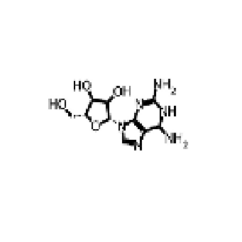 NC1=Nc2c(ncn2[C@@H]2O[C@H](CO)C(O)C2O)C(N)N1